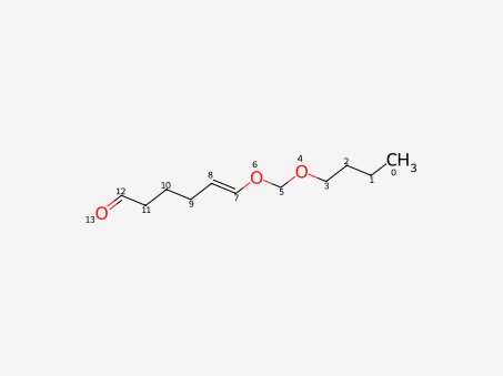 CCCCOCOC=CCCCC=O